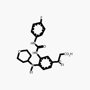 CC[C@H](CC(=O)O)c1ccc(N(CC)C2CCOCC2)c(NC(=O)Nc2ccc(F)cc2)c1